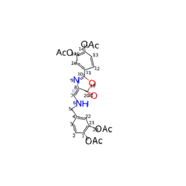 CC(=O)Oc1ccc(CN/C=C2/N=C(c3ccc(OC(C)=O)c(OC(C)=O)c3)OC2=O)cc1OC(C)=O